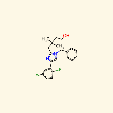 CC(C)(CCO)Cc1nc(-c2cc(F)ccc2F)cn1Cc1ccccc1